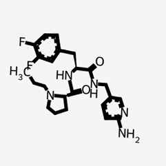 CCCN1CCC[C@@H]1C(=O)N[C@@H](Cc1ccc(F)c(F)c1)C(=O)NCc1ccc(N)nc1